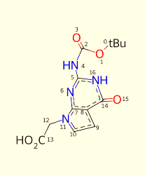 CC(C)(C)OC(=O)Nc1nc2c(ccn2CC(=O)O)c(=O)[nH]1